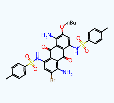 CCCCOc1cc(NS(=O)(=O)c2ccc(C)cc2)c2c(c1N)C(=O)c1c(NS(=O)(=O)c3ccc(C)cc3)cc(Br)c(N)c1C2=O